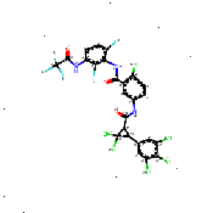 O=C(Nc1c(F)ccc(NC(=O)C(F)(F)F)c1F)c1cc(NC(=O)[C@H]2C(c3cc(Cl)c(Cl)c(Cl)c3)C2(Cl)Cl)ccc1Cl